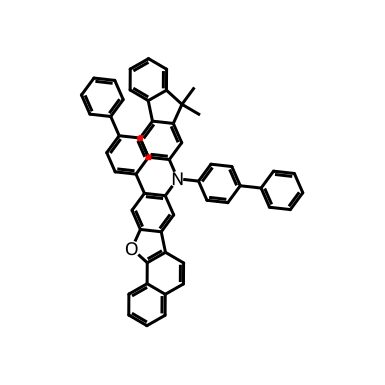 CC1(C)c2ccccc2-c2ccc(N(c3ccc(-c4ccccc4)cc3)c3cc4c(cc3-c3ccc(-c5ccccc5)cc3)oc3c5ccccc5ccc43)cc21